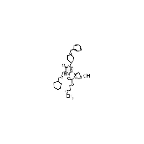 COCCOC(=O)N1CSC[C@H]1C(=O)N[C@@H](CSCC1CCCCC1)C(=O)NC1CCN(Cc2ccccc2)CC1.Cl